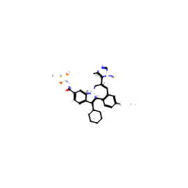 COc1ccc2c(c1)C=C(c1c(C(=O)O)ncn1C(C)C)Cn1c-2c(C2CCCCC2)c2ccc(C(=O)NS(=O)(=O)C(C)C)cc21